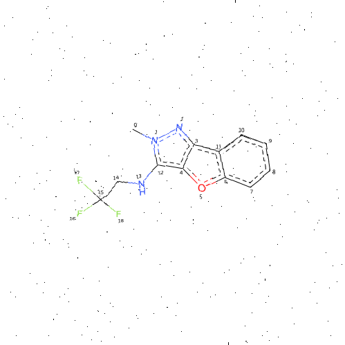 Cn1nc2c(oc3ccccc32)c1NCC(F)(F)F